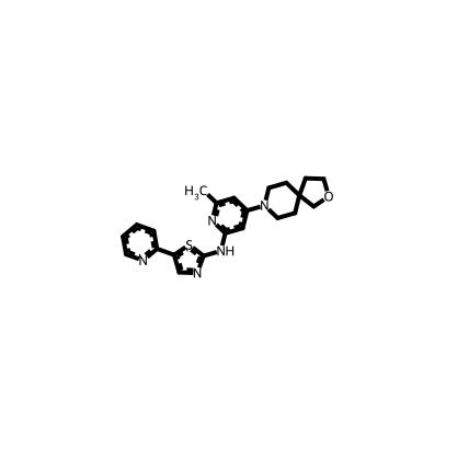 Cc1cc(N2CCC3(CCOC3)CC2)cc(Nc2ncc(-c3ccccn3)s2)n1